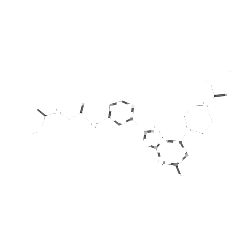 CC(C)(C)OC(=O)NCC(=O)Nc1cccc(-c2nn3c(N4CCN(C(=O)OC(C)(C)C)CC4)cc(=O)nc3s2)c1